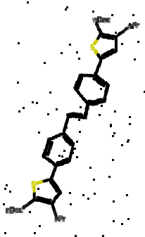 CCCCCCCCCCc1sc(-c2ccc(/C=C/c3ccc(-c4cc(CCC)c(CCCCCCCCCC)s4)cc3)cc2)cc1CCC